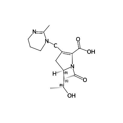 CC1=NCCCN1CC1=C(C(=O)O)N2C(=O)[C@H]([C@@H](C)O)[C@H]2C1